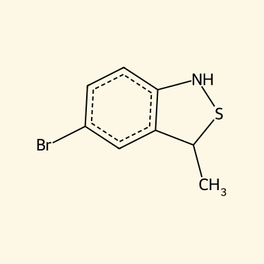 CC1SNc2ccc(Br)cc21